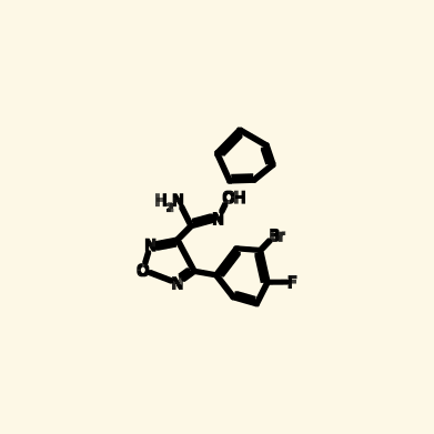 NC(=NO)c1nonc1-c1ccc(F)c(Br)c1.c1ccccc1